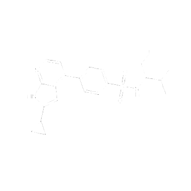 CC(C)C(CF)NS(=O)(=O)c1ccc(-c2ccnc3[nH]c(C4CC4)cc23)cc1